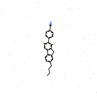 CCCCc1ccc2c(c1)Cc1c-2cc(F)c(-c2ccc(C#N)cc2)c1F